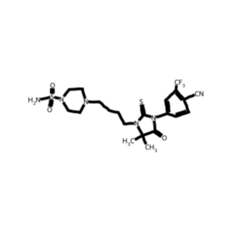 CC1(C)C(=O)N(c2ccc(C#N)c(C(F)(F)F)c2)C(=S)N1CCCCN1CCN(S(N)(=O)=O)CC1